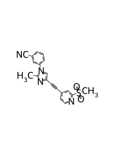 Cc1nc(C#Cc2ccnc(S(C)(=O)=O)c2)cn1-c1cccc(C#N)c1